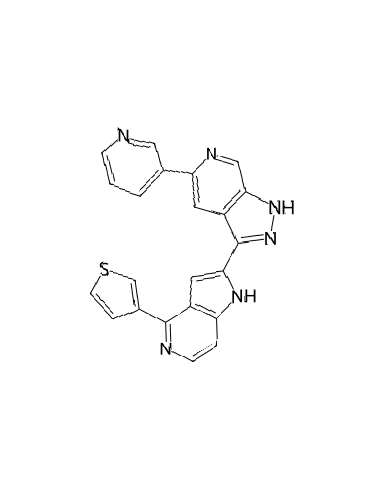 c1cncc(-c2cc3c(-c4cc5c(-c6ccsc6)nccc5[nH]4)n[nH]c3cn2)c1